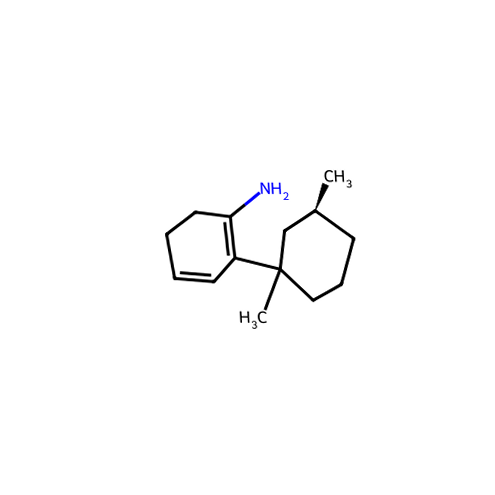 C[C@H]1CCCC(C)(C2=C(N)CCC=C2)C1